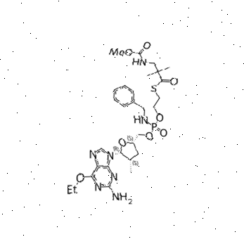 CCOc1nc(N)nc2c1ncn2[C@@H]1O[C@H](COP(=O)(NCc2ccccc2)OCCSC(=O)C(C)(C)CNC(=O)OC)C[C@@H]1C